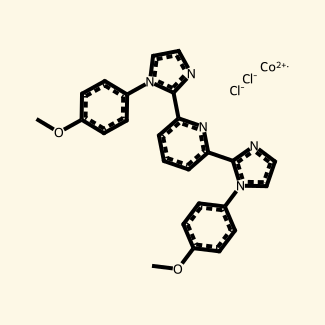 COc1ccc(-n2ccnc2-c2cccc(-c3nccn3-c3ccc(OC)cc3)n2)cc1.[Cl-].[Cl-].[Co+2]